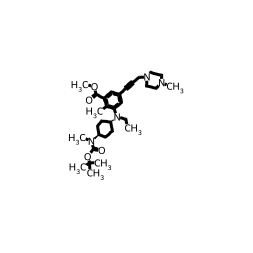 CCN(c1cc(C#CCN2CCN(C)CC2)cc(C(=O)OC)c1C)[C@H]1CC[C@H](N(C)C(=O)OC(C)(C)C)CC1